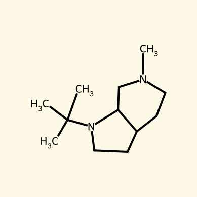 CN1CCC2CCN(C(C)(C)C)C2C1